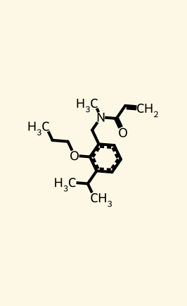 C=CC(=O)N(C)Cc1cccc(C(C)C)c1OCCC